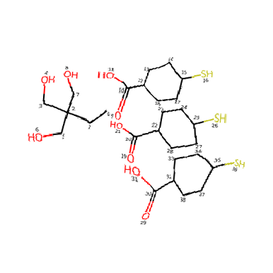 CCC(CO)(CO)CO.O=C(O)C1CCC(S)CC1.O=C(O)C1CCC(S)CC1.O=C(O)C1CCC(S)CC1